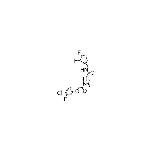 C=C(CCC(=O)NCc1ccc(F)c(F)c1)NC(=O)COc1ccc(Cl)c(F)c1